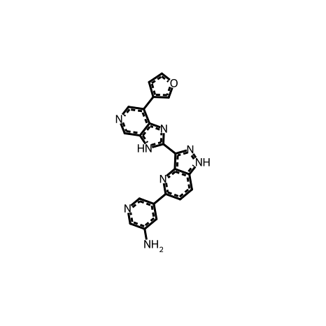 Nc1cncc(-c2ccc3[nH]nc(-c4nc5c(-c6ccoc6)cncc5[nH]4)c3n2)c1